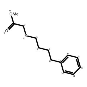 COC(=O)CSCCCCc1ccccc1